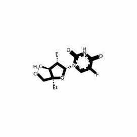 CC[C@@]1(CCl)O[C@@H](n2cc(F)c(=O)[nH]c2=O)[C@@H](F)[C@@H]1C